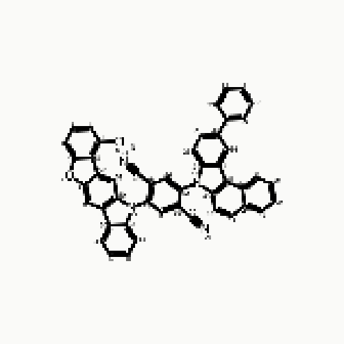 Cc1cccc2oc3cc4c5ccccc5n(-c5cc(C#N)c(-n6c7ccc(-c8ccccc8)cc7c7c8ccccc8ccc76)cc5C#N)c4cc3c12